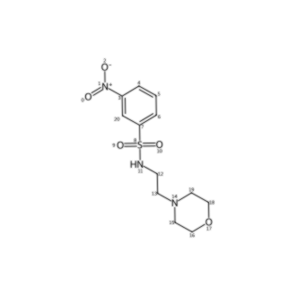 O=[N+]([O-])c1cccc(S(=O)(=O)NCCN2CCOCC2)c1